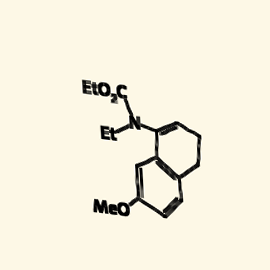 CCOC(=O)N(CC)C1=CCCc2ccc(OC)cc21